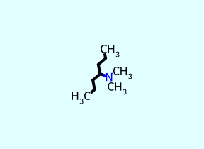 CCCC(CCC)N(C)C